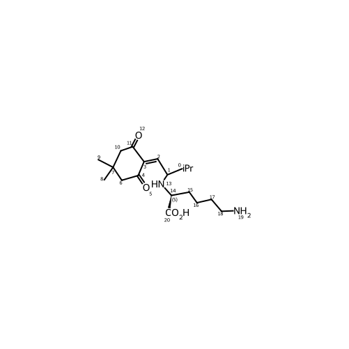 CC(C)C(C=C1C(=O)CC(C)(C)CC1=O)N[C@@H](CCCCN)C(=O)O